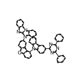 c1ccc(-c2nc(-c3ccccc3)nc(-c3ccc4c(c3)c3ccccc3n4-c3cccc4oc5ccc(-n6c7ccccc7n7c8ccccc8nc67)cc5c34)n2)cc1